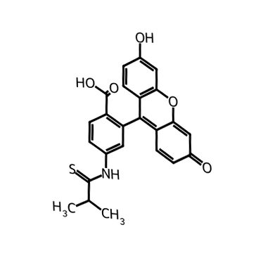 CC(C)C(=S)Nc1ccc(C(=O)O)c(-c2c3ccc(=O)cc-3oc3cc(O)ccc23)c1